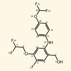 OCc1cc(F)c(OCC(F)F)cc1Nc1ccc(OC(F)F)cc1